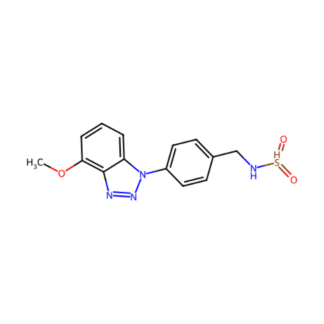 COc1cccc2c1nnn2-c1ccc(CN[SH](=O)=O)cc1